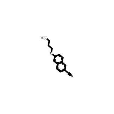 CCCCOc1ccc2cc(C#N)ccc2c1